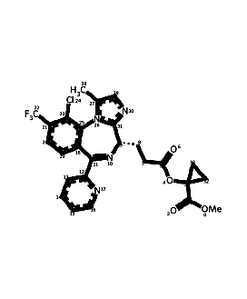 COC(=O)C1(OC(=O)CC[C@@H]2N=C(c3ccccn3)c3ccc(C(F)(F)F)c(Cl)c3-n3c(C)cnc32)CC1